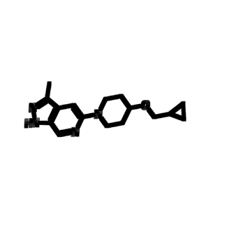 Cc1n[nH]c2cnc(N3CCC(OCC4CC4)CC3)cc12